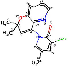 CC1(C)C=C(n2cc([N+](=O)[O-])cc(Cl)c2=O)c2ncccc2O1